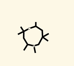 CC1CC(C)(C)CC(C)N(C)CC(C)(C)C1